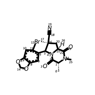 C[C@@H]1C(=O)N2C(c3cc4c(cc3Br)OCO4)[C@@](C)(C#N)C[C@H]2C(=O)N1C